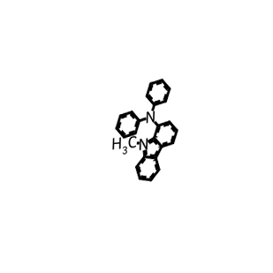 Cn1c2ccccc2c2cccc(N(c3ccccc3)c3ccccc3)c21